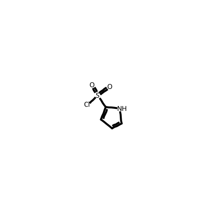 O=S(=O)(Cl)c1ccc[nH]1